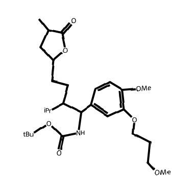 COCCCOc1cc(C(NC(=O)OC(C)(C)C)C(CCC2CC(C)C(=O)O2)C(C)C)ccc1OC